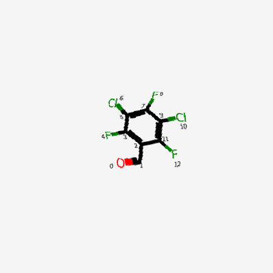 O=Cc1c(F)c(Cl)c(F)c(Cl)c1F